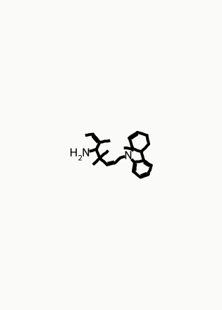 C/C=C(/C)C(N)C(C)(C)/C=C\CN1c2ccccc2C2CCC=CC21C